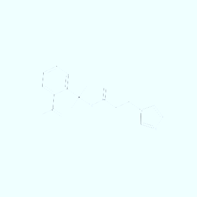 CC(C)(NC(=O)CCn1ccnc1)c1ccccc1C(=O)O